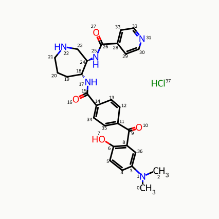 CN(C)c1ccc(O)c(C(=O)c2ccc(C(=O)N[C@@H]3CCCNC[C@H]3NC(=O)c3ccncc3)cc2)c1.Cl